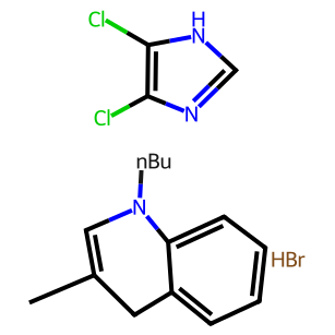 Br.CCCCN1C=C(C)Cc2ccccc21.Clc1nc[nH]c1Cl